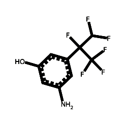 Nc1cc(O)cc(C(F)(C(F)F)C(F)(F)F)c1